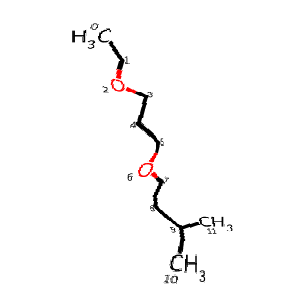 CCOCCCOCCC(C)C